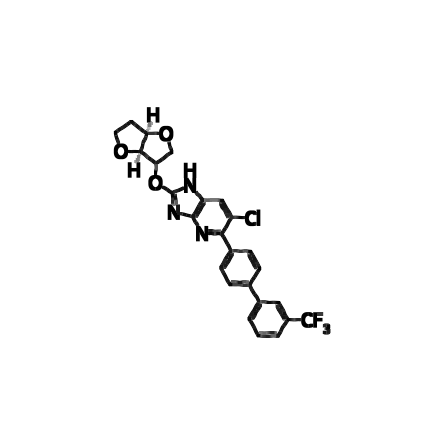 FC(F)(F)c1cccc(-c2ccc(-c3nc4nc(OC5CO[C@@H]6CCO[C@H]56)[nH]c4cc3Cl)cc2)c1